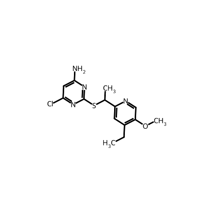 CCc1cc(C(C)Sc2nc(N)cc(Cl)n2)ncc1OC